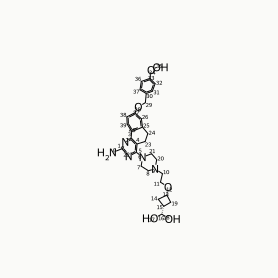 Nc1nc2c(c(N3CCN(CCO[C@H]4C[C@@H](C(O)O)C4)CC3)n1)CCc1cc(OCc3ccc(OO)cc3)ccc1-2